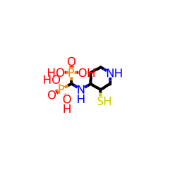 O=P(O)(O)C(NC1CCNCC1S)P(=O)(O)O